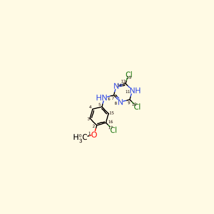 COc1ccc(NC2=NC(Cl)NC(Cl)=N2)cc1Cl